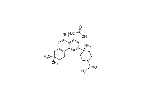 CC(=O)N1CCC(N)(c2ccc(C(N)=O)c(C3=CCC(C)(C)CC3)c2)CC1.CC(=O)O